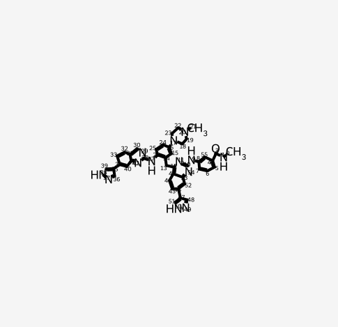 CNC(=O)c1cccc(Nc2nc(Cc3cc(N4CCN(C)CC4)ccc3Nc3ncc4ccc(-c5cn[nH]c5)cc4n3)c3ccc(-c4cn[nH]c4)cc3n2)c1